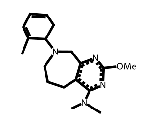 COc1nc2c(c(N(C)C)n1)CCCN(C1CC=CC=C1C)C2